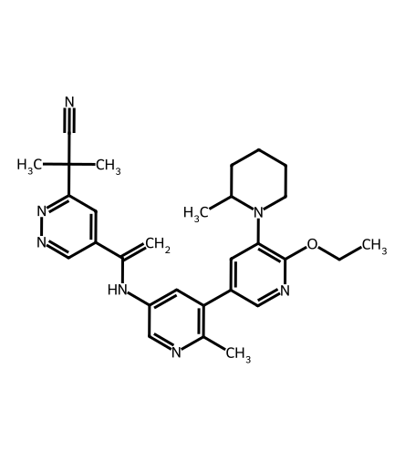 C=C(Nc1cnc(C)c(-c2cnc(OCC)c(N3CCCCC3C)c2)c1)c1cnnc(C(C)(C)C#N)c1